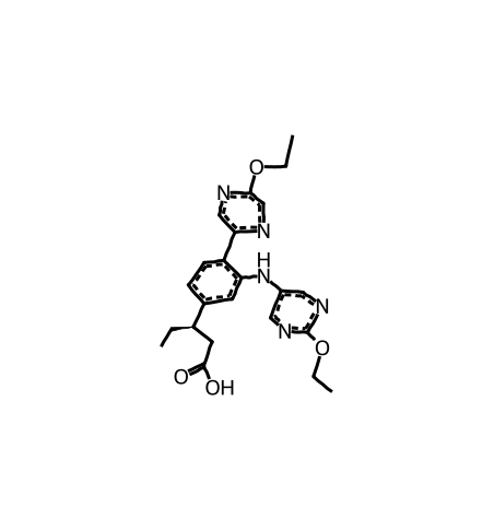 CCOc1cnc(-c2ccc([C@H](CC)CC(=O)O)cc2Nc2cnc(OCC)nc2)cn1